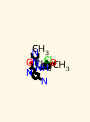 COc1ccc(CNc2c(C(=O)N(C)C3CCN(C)CC3)cnc3ccc(C#N)cc23)cc1Cl